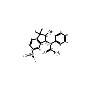 CC1(C)c2ccc([N+](=O)[O-])cc2C(N(C(N)=O)c2ccccc2)C1O